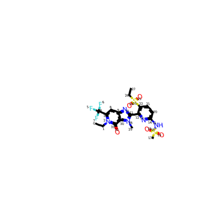 CCn1c(C(F)(F)F)cc2nc(-c3nc(NS(C)(=O)=O)ccc3S(=O)(=O)CC)n(C)c2c1=O